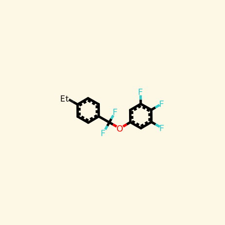 CCc1ccc(C(F)(F)Oc2cc(F)c(F)c(F)c2)cc1